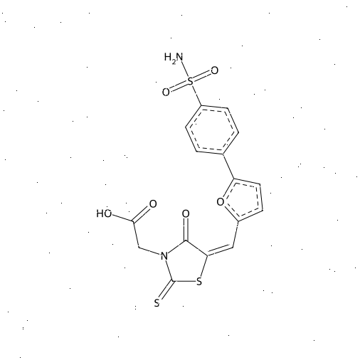 NS(=O)(=O)c1ccc(-c2ccc(C=C3SC(=S)N(CC(=O)O)C3=O)o2)cc1